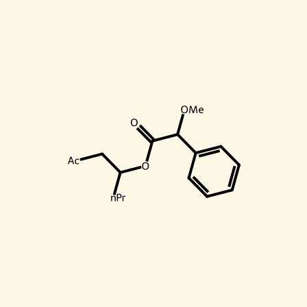 CCCC(CC(C)=O)OC(=O)C(OC)c1ccccc1